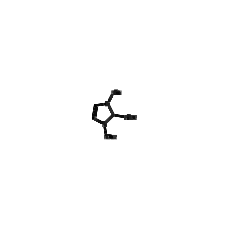 CCCCCCCCCCC1N(CCCC)C=CN1CCCCCCCCCC